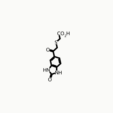 O=C(O)CSCC(=O)c1ccc2[nH]c(=O)[nH]c2c1